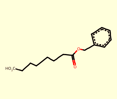 O=C(O)CCCCCCC(=O)OCc1ccccc1